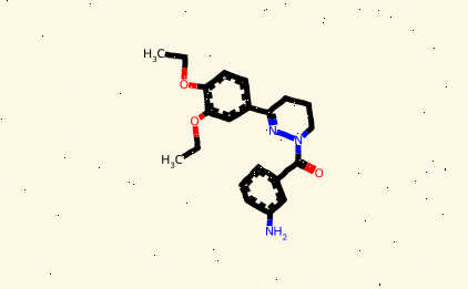 CCOc1ccc(C2=NN(C(=O)c3cccc(N)c3)CCC2)cc1OCC